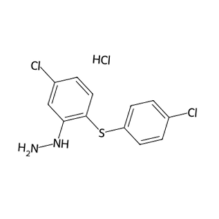 Cl.NNc1cc(Cl)ccc1Sc1ccc(Cl)cc1